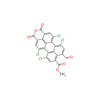 COC(=O)c1cc(Cl)c2c3c(Cl)cc4c5c(cc(Cl)c(c6c(Cl)cc(C=O)c1c62)c53)C(=O)OC4=O